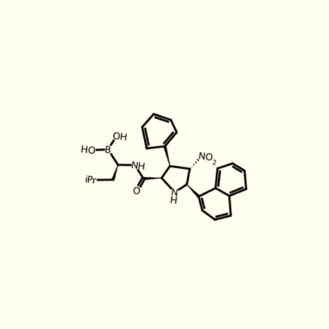 CC(C)C[C@H](NC(=O)[C@@H]1N[C@H](c2cccc3ccccc23)[C@@H]([N+](=O)[O-])[C@@H]1c1ccccc1)B(O)O